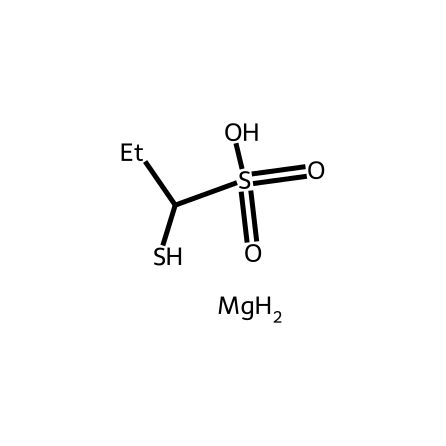 CCC(S)S(=O)(=O)O.[MgH2]